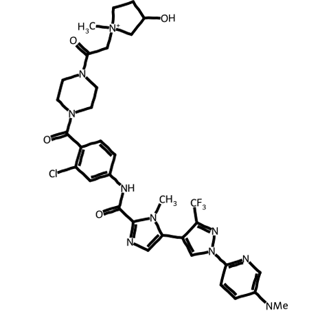 CNc1ccc(-n2cc(-c3cnc(C(=O)Nc4ccc(C(=O)N5CCN(C(=O)C[N+]6(C)CCC(O)C6)CC5)c(Cl)c4)n3C)c(C(F)(F)F)n2)nc1